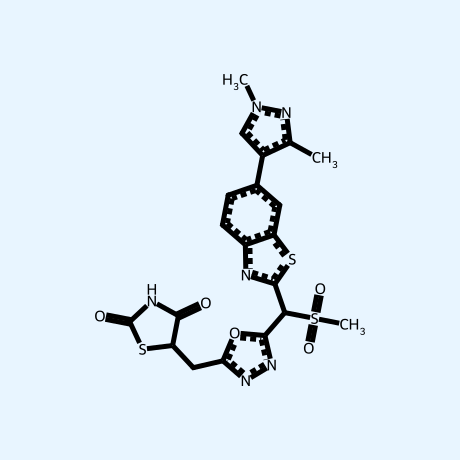 Cc1nn(C)cc1-c1ccc2nc(C(c3nnc(CC4SC(=O)NC4=O)o3)S(C)(=O)=O)sc2c1